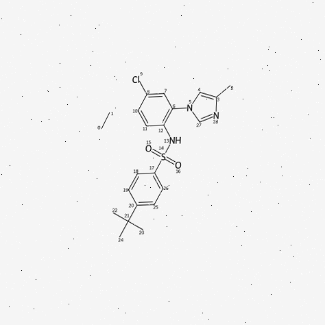 CC.Cc1cn(-c2cc(Cl)ccc2NS(=O)(=O)c2ccc(C(C)(C)C)cc2)cn1